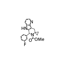 COC(=O)N1C(c2cccc(F)c2)c2[nH]c3cccnc3c2CC12CC2